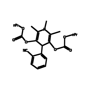 CCCOC(=O)OC1=C(C)N(C)C(C)=C(OC(=O)OCCC)C1c1ccccc1C#N